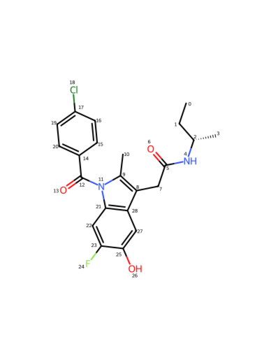 CC[C@H](C)NC(=O)Cc1c(C)n(C(=O)c2ccc(Cl)cc2)c2cc(F)c(O)cc12